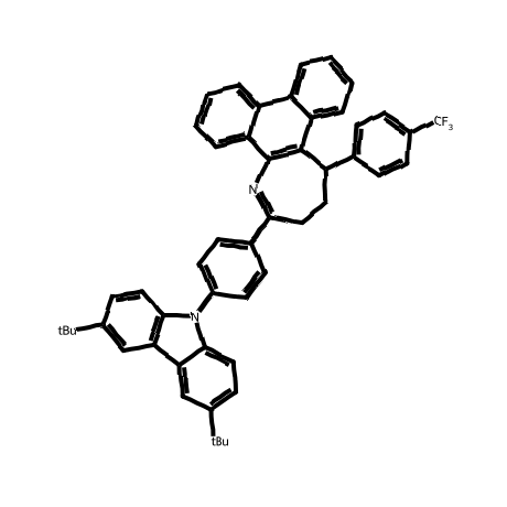 CC(C)(C)c1ccc2c(c1)c1cc(C(C)(C)C)ccc1n2-c1ccc(C2=Nc3c(c4ccccc4c4ccccc34)C(c3ccc(C(F)(F)F)cc3)CC2)cc1